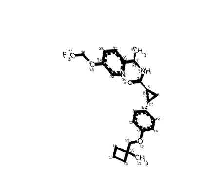 C[C@@H](NC(=O)[C@H]1C[C@@H]1c1ccc(OCC2(C)CCC2)cc1)c1ccc(OCC(F)(F)F)cn1